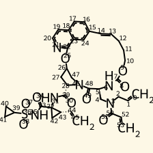 C=CCN(C[C@@H]1NC(=O)OCCC/C=C/c2ccc3ccnc(c3c2)OC2C[C@@H](C(=O)N[C@]3(C(=O)NS(=O)(=O)C4CC4)C[C@H]3C=C)N(C2)C1=O)C(=O)C=C